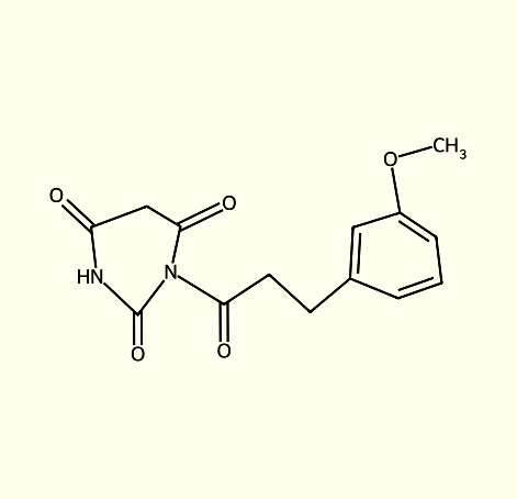 COc1cccc(CCC(=O)N2C(=O)CC(=O)NC2=O)c1